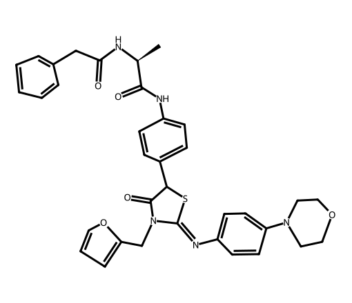 C[C@H](NC(=O)Cc1ccccc1)C(=O)Nc1ccc(C2S/C(=N\c3ccc(N4CCOCC4)cc3)N(Cc3ccco3)C2=O)cc1